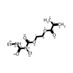 C=C(C)C(=O)OCCOC(=O)N(CC)C(=O)NCC